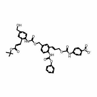 CC(C)(C)OC(=O)/C=C/c1cc(CO)ccc1NC(=O)OCc1ccc(NC(=O)Oc2ccccc2)c(/C=C/COC(=O)Nc2ccc([N+](=O)[O-])cc2)c1